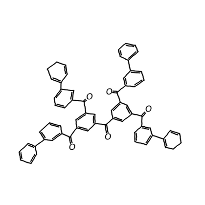 O=C(c1cc(C(=O)c2cccc(C3=CCCC=C3)c2)cc(C(=O)c2cccc(-c3ccccc3)c2)c1)c1cc(C(=O)c2cccc(C3=CCCC=C3)c2)cc(C(=O)c2cccc(-c3ccccc3)c2)c1